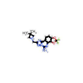 CC1(C)CN(Cc2nc3c4ccc5c(c4nc(N)n3n2)OC(F)(F)O5)C1